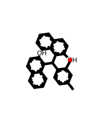 Cc1ccc(C(c2c(O)ccc3ccccc23)c2c(O)ccc3ccccc23)c(C)c1